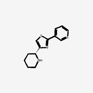 c1cncc(-c2nc([C@H]3CCCCN3)cs2)c1